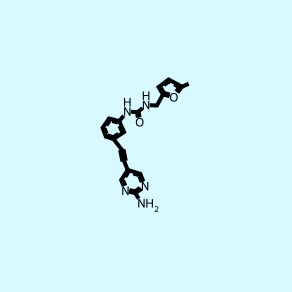 Cc1ccc(CNC(=O)Nc2cccc(C#Cc3cnc(N)nc3)c2)o1